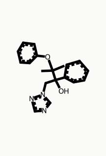 CC(C)(Oc1ccccc1)C(O)(Cn1cncn1)c1ccccc1